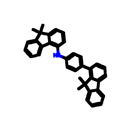 CC1(C)c2ccccc2-c2c(Nc3ccc(-c4cccc5c4C(C)(C)c4ccccc4-5)cc3)cccc21